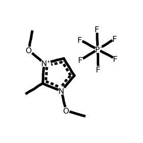 COn1cc[n+](OC)c1C.F[P-](F)(F)(F)(F)F